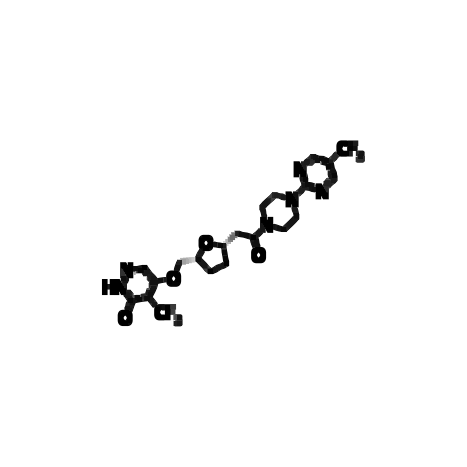 O=C(C[C@@H]1CC[C@H](COc2cn[nH]c(=O)c2C(F)(F)F)O1)N1CCN(c2ncc(C(F)(F)F)cn2)CC1